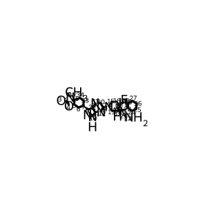 Cn1c(=O)oc2cc(-c3n[nH]c4nc(N5CC[C@@H]6[C@H](C5)[C@@]6(CN)c5ccccc5F)cnc34)ccc21